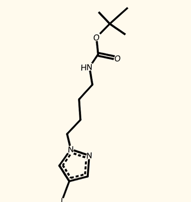 CC(C)(C)OC(=O)NCCCCn1cc(I)cn1